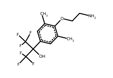 Cc1cc(C(O)(C(F)(F)F)C(F)(F)F)cc(C)c1OCCN